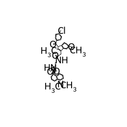 COc1ccc2c(c1)C(CC(=O)NCCNS(=O)(=O)c1cccc3c(N(C)C)cccc13)=C(C)C2C(=O)c1ccc(Cl)cc1